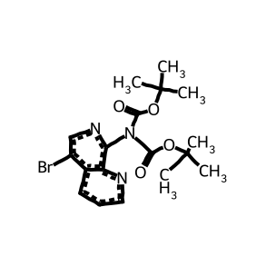 CC(C)(C)OC(=O)N(C(=O)OC(C)(C)C)c1ncc(Br)c2cccnc12